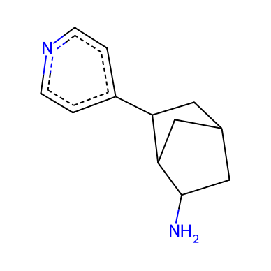 NC1CC2CC(c3ccncc3)C1C2